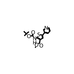 COC(=O)c1cc(-c2cccnc2)sc1NC(=O)OC(C)(C)C